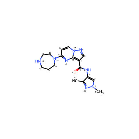 Cn1cc(NC(=O)c2cnn3ccc(N4CCCNCC4)nc23)c(C#N)n1